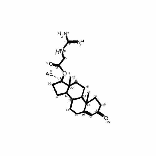 CC(=O)[C@@]1(OC(=O)CNC(=N)N)CCC2C3CCC4=CC(=O)CCC4(C)C3CCC21C